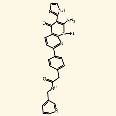 CCn1c(N)c(-c2ncc[nH]2)c(=O)c2ccc(-c3ccc(CC(=O)NCc4cccnc4)cc3)nc21